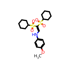 COc1ccc(NC=C(S(=O)(=O)C2CCCCC2)S(=O)(=O)C2CCCCC2)cc1